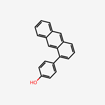 Oc1ccc(-c2cccc3cc4ccccc4cc23)cc1